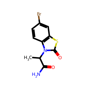 CC(C(N)=O)n1c(=O)sc2cc(Br)ccc21